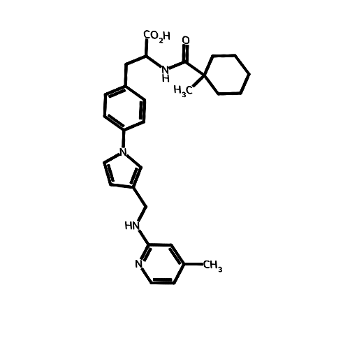 Cc1ccnc(NCc2ccn(-c3ccc(CC(NC(=O)C4(C)CCCCC4)C(=O)O)cc3)c2)c1